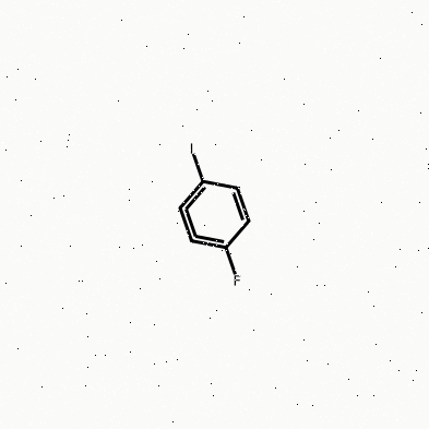 FC1=C=C=C(I)C=C1